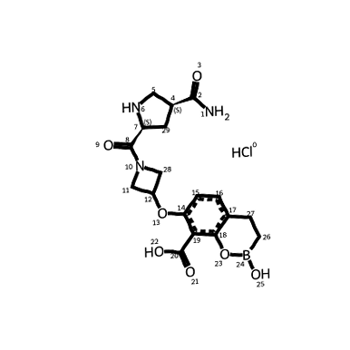 Cl.NC(=O)[C@@H]1CN[C@H](C(=O)N2CC(Oc3ccc4c(c3C(=O)O)OB(O)CC4)C2)C1